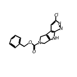 O=C(OCc1ccccc1)N1Cc2[nH]c3nnc(Cl)cc3c2C1